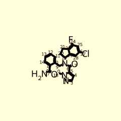 Cn1nccc1C(=O)N(Cc1ccccc1C(N)=O)[C@@H]1CCc2c(F)cc(Cl)cc21